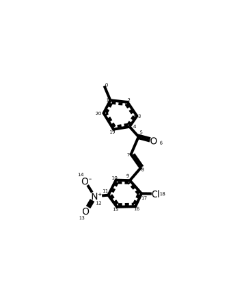 Cc1ccc(C(=O)C=Cc2cc([N+](=O)[O-])ccc2Cl)cc1